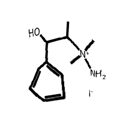 CC(C(O)c1ccccc1)[N+](C)(C)N.[I-]